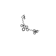 O=C(CCCC[C@H]1CCSS1)Oc1ccccc1C(=O)OCCCCO[N+](=O)[O-]